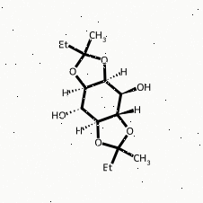 CCC1(C)O[C@@H]2[C@@H](O)[C@@H]3OC(C)(CC)O[C@H]3[C@H](O)[C@@H]2O1